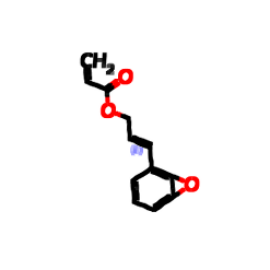 C=CC(=O)OC/C=C/c1cccc2c1O2